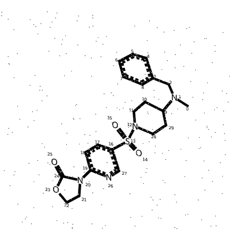 CN(Cc1ccccc1)C1CCN(S(=O)(=O)c2ccc(N3CCOC3=O)nc2)CC1